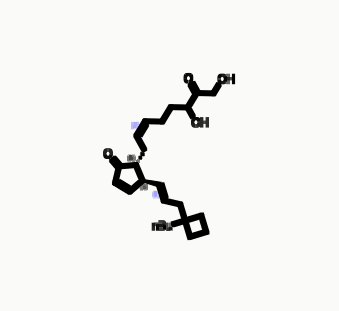 CCCCC1(C/C=C/[C@H]2C=CC(=O)[C@@H]2C/C=C\CCC(O)C(=O)CO)CCC1